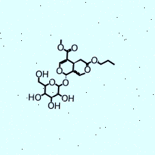 C/C=C1/[C@H](OC2OC(CO)C(O)C(O)C2O)OC=C(C(=O)OC)[C@H]1CC(=O)OCCC